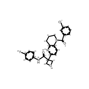 O=C(c1cccc(Cl)c1)N1CCCc2nc(C3(C(=O)Nc4ccc(F)cc4)COC3)ccc21